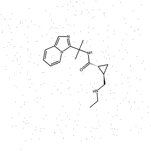 CCNC[C@@H]1C[C@H]1C(=O)NC(C)(C)c1ncc2ccccn12